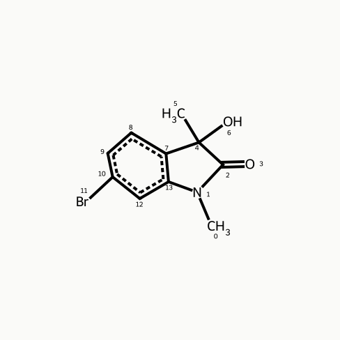 CN1C(=O)C(C)(O)c2ccc(Br)cc21